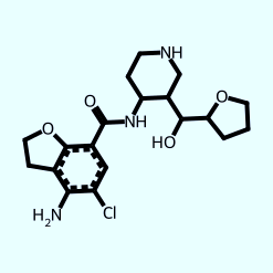 Nc1c(Cl)cc(C(=O)NC2CCNCC2C(O)C2CCCO2)c2c1CCO2